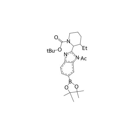 CCC1CCCN(C(=O)OC(C)(C)C)C1c1nc2ccc(B3OC(C)(C)C(C)(C)O3)cc2n1C(C)=O